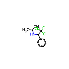 CC(C)NC(c1ccccc1)C(Cl)(Cl)Cl